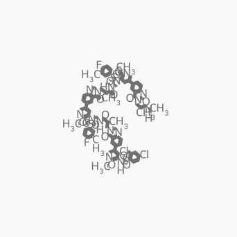 CNC(=O)[C@@H](C)Cn1cnc2ccc(-c3cnc(OC)c(N(CNC(=O)[C@H](C)Cn4cnc5ccc(-c6cnc(OC)c(N(CNC(=O)[C@@H](C)Cn7cnc8ccc(-c9cnc(OC)c(NS(=O)(=O)c%10ccc(Cl)cc%10Cl)c9)cc8c7=O)S(=O)(=O)c7ccc(F)c(C)c7)c6)cc5c4=O)S(=O)(=O)c4ccc(F)c(C)c4)c3)cc2c1=O